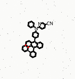 N#Cc1ccc(N(c2ccccc2)c2ccc(-c3c4ccccc4c(-c4ccccc4-c4ccccc4)c4ccccc34)cc2)nc1